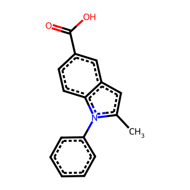 Cc1cc2cc(C(=O)O)ccc2n1-c1ccccc1